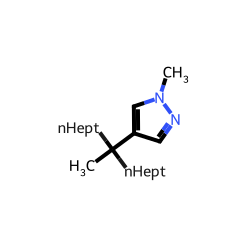 CCCCCCCC(C)(CCCCCCC)c1cnn(C)c1